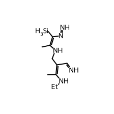 CCN/C(C)=C(\C=N)CN/C(C)=C(/[SiH3])N=N